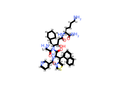 C[C@H](N)C(=O)N(C(=O)C(NC(=O)c1cccnc1)C(c1cscn1)c1cccc2ccccc12)[C@@H](CC1CCCCC1)[C@@H](O)CC(=O)N[C@@H](CCCCN)C(N)=O